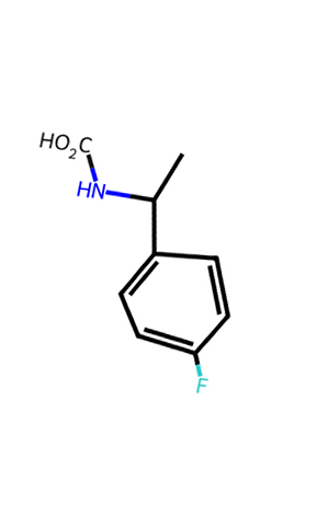 CC(NC(=O)O)c1ccc(F)cc1